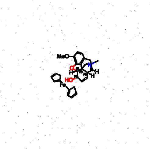 C1=CC[C]([Fe][C]2=CC=CC2)=C1.COc1ccc2c3c1O[C@H]1[C@@H](O)C=C[C@H]4[C@@H](C2)N(C)CC[C@@]341